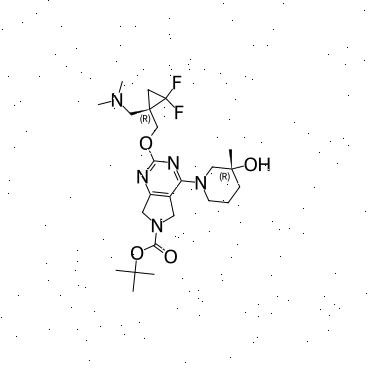 CN(C)C[C@@]1(COc2nc3c(c(N4CCC[C@@](C)(O)C4)n2)CN(C(=O)OC(C)(C)C)C3)CC1(F)F